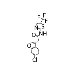 O=C(Cc1coc2cc(Cl)ccc12)Nc1ncc(C(F)(F)F)s1